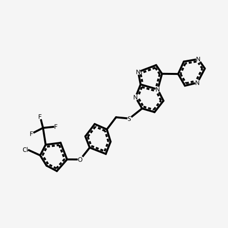 FC(F)(F)c1cc(Oc2ccc(CSc3ccn4c(-c5cncnc5)cnc4n3)cc2)ccc1Cl